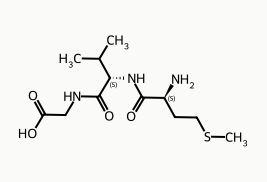 CSCC[C@H](N)C(=O)N[C@H](C(=O)NCC(=O)O)C(C)C